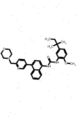 CCC(C)(C)c1ccc(OC)c(NC(=O)Nc2ccc(-c3ccc(CN4CCOCC4)nc3)c3ccccc23)c1